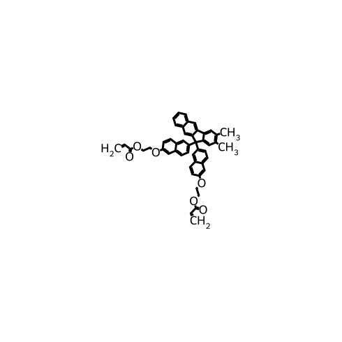 C=CC(=O)OCCOc1ccc2cc(C3(c4ccc5cc(OCCOC(=O)C=C)ccc5c4)c4cc(C)c(C)cc4-c4cc5ccccc5cc43)ccc2c1